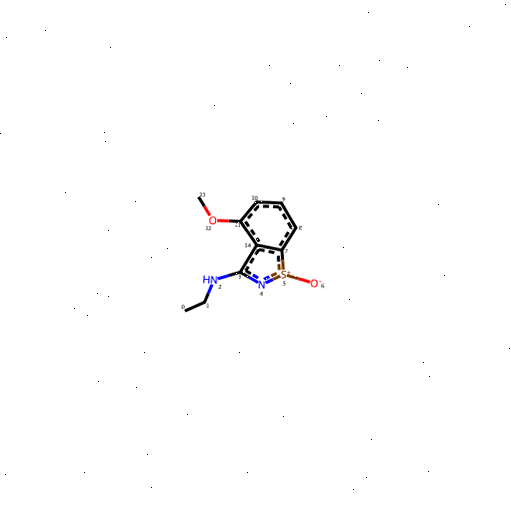 CCNc1n[s+]([O-])c2cccc(OC)c12